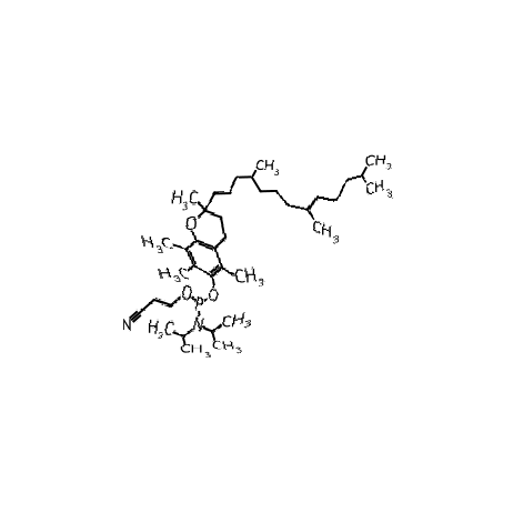 Cc1c(C)c2c(c(C)c1OP(OCCC#N)N(C(C)C)C(C)C)CCC(C)(CCCC(C)CCCC(C)CCCC(C)C)O2